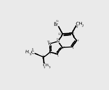 Cc1ccc2cc(C(C)C)nn2c1Br